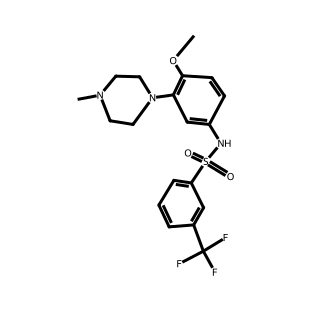 COc1ccc(NS(=O)(=O)c2cccc(C(F)(F)F)c2)cc1N1CCN(C)CC1